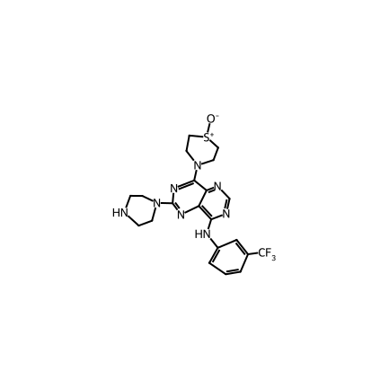 [O-][S+]1CCN(c2nc(N3CCNCC3)nc3c(Nc4cccc(C(F)(F)F)c4)ncnc23)CC1